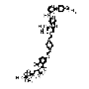 COC1CCN(c2nccc(Nc3cc4c(cn3)nc(COCCN3CCN(CCOc5ccc6c(c5)C(=O)N(C(CCC(=O)OC(C)(C)C)C(N)=O)C6=O)CC3)n4C(C)C)n2)CC1